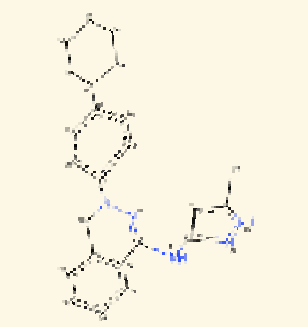 Cc1cc(NC2=NN(c3ccc(C4CCCCC4)cc3)Cc3ccccc32)n[nH]1